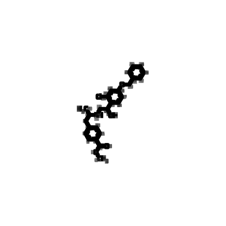 COC(=O)c1ccc(CC(C)NCC(O)c2ccc(OCc3ccccc3)cc2Cl)cc1